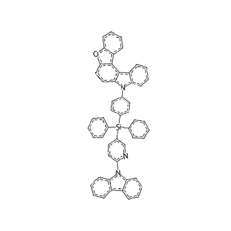 c1ccc([Si](c2ccccc2)(c2ccc(-n3c4ccccc4c4c5c(ccc43)oc3ccccc35)cc2)c2ccc(-n3c4ccccc4c4ccccc43)nc2)cc1